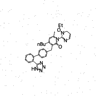 CCCCc1cc(C)n(C2=NC=CCN2OCC)c(=O)c1Cc1ccc(-c2ccccc2-c2nnn[nH]2)cc1